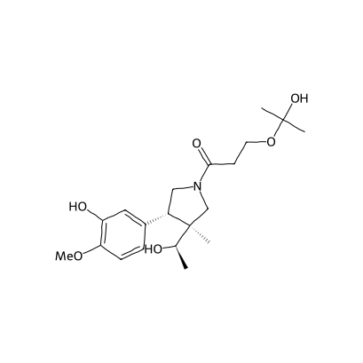 COc1ccc([C@@H]2CN(C(=O)CCOC(C)(C)O)C[C@@]2(C)[C@@H](C)O)cc1O